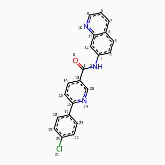 O=C(Nc1ccc2cccnc2c1)c1ccc(-c2ccc(Cl)cc2)nc1